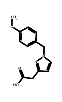 COc1ccc(Cn2ccc(CC(=O)O)n2)cc1